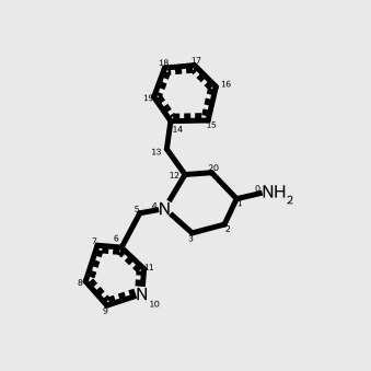 NC1CCN(Cc2cccnc2)C(Cc2ccccc2)C1